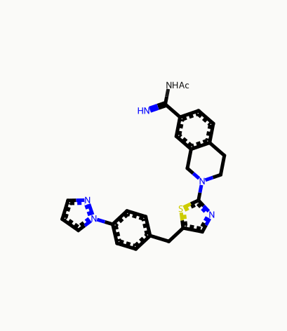 CC(=O)NC(=N)c1ccc2c(c1)CN(c1ncc(Cc3ccc(-n4cccn4)cc3)s1)CC2